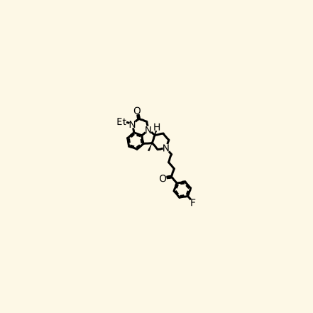 CCN1C(=O)CN2c3c1cccc3[C@@]1(C)CN(CCCC(=O)c3ccc(F)cc3)CC[C@@H]21